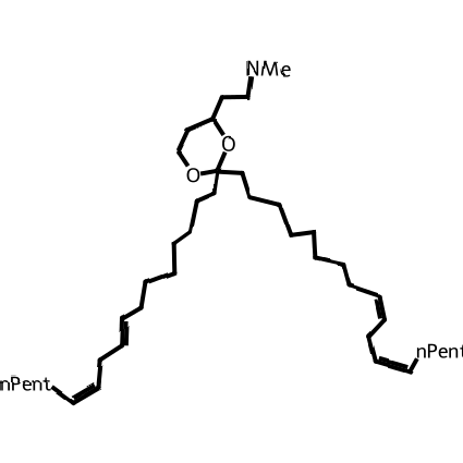 CCCCC/C=C\C/C=C\CCCCCCCCC1(CCCCCCC/C=C/C/C=C\CCCCC)OCCC(CCNC)O1